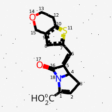 O=C(O)C1=CCC2C(=Cc3cc4c(s3)CCOC4)C(=O)N12